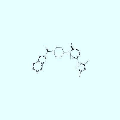 Cc1cc(C)n(-c2ccc(=O)n(C3CCN(C(=O)c4cc5ccccc5o4)CC3)n2)n1